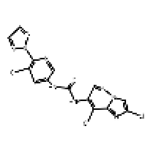 O=C(Nc1cnc(-n2nccn2)c(Cl)c1)Nc1cnn2cc(Cl)nc2c1Cl